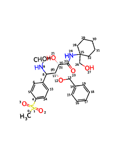 CS(=O)(=O)c1ccc(C(NC=O)[C@@H](OCc2ccccc2)[C@H](O)C(=O)NC2(CO)CCCCC2)cc1